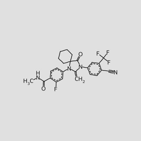 C=C1N(c2ccc(C#N)c(C(F)(F)F)c2)C(=O)C2(CCCCC2)N1c1ccc(C(=O)NC)c(F)c1